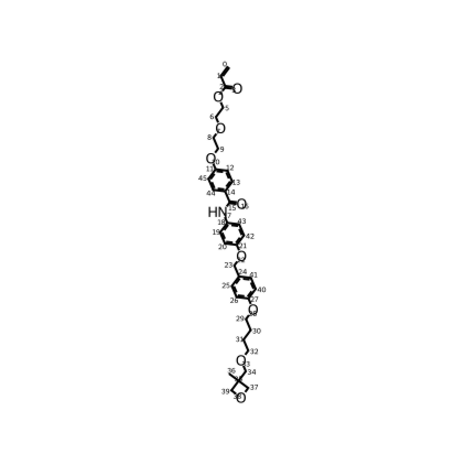 C=CC(=O)OCCOCCOc1ccc(C(=O)Nc2ccc(OCc3ccc(OCCCCOCC4(C)COC4)cc3)cc2)cc1